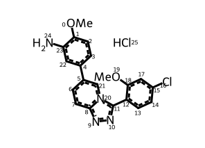 COc1ccc(-c2ccc3nnc(-c4ccc(Cl)cc4OC)n3c2)cc1N.Cl